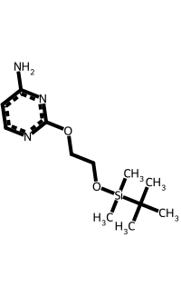 CC(C)(C)[Si](C)(C)OCCOc1nccc(N)n1